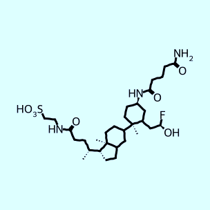 C[C@H](CCC(=O)NCCS(=O)(=O)O)[C@H]1CCC2CC([C@@]3(C)CC[C@@H](NC(=O)CCCC(N)=O)CC3C[C@H](O)F)CC[C@@]21C